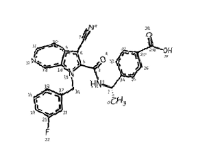 C[C@H](NC(=O)c1c(C#N)c2ccncc2n1Cc1cccc(F)c1)c1ccc(C(=O)O)cc1